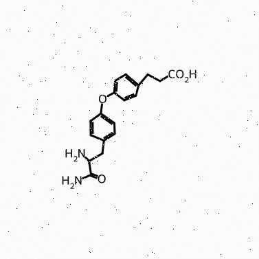 NC(=O)C(N)Cc1ccc(Oc2ccc(CCC(=O)O)cc2)cc1